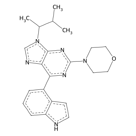 CC(C)C(C)n1cnc2c(-c3cccc4[nH]ccc34)nc(N3CCOCC3)nc21